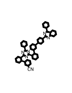 N#Cc1cccc(-c2ccccc2-c2nc(-c3ccccc3)nc(-c3ccccc3-c3cccc(-c4ccc(-c5nc(-c6ccccc6)c6ccccc6n5)cc4)c3)n2)c1